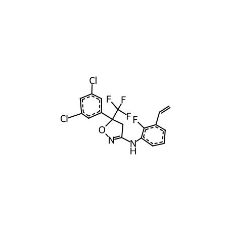 C=Cc1cccc(NC2=NOC(c3cc(Cl)cc(Cl)c3)(C(F)(F)F)C2)c1F